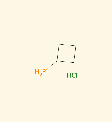 Cl.PC1CCC1